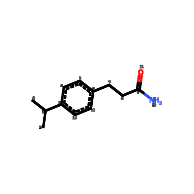 CC(C)c1ccc(CCC(N)=O)cc1